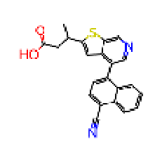 CC(CC(=O)O)c1cc2c(-c3ccc(C#N)c4ccccc34)cncc2s1